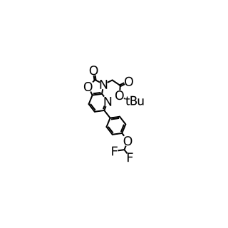 CC(C)(C)OC(=O)Cn1c(=O)oc2ccc(-c3ccc(OC(F)F)cc3)nc21